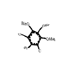 COc1c(Cl)c(C(C)C)c(Cl)c(OC)c1OC